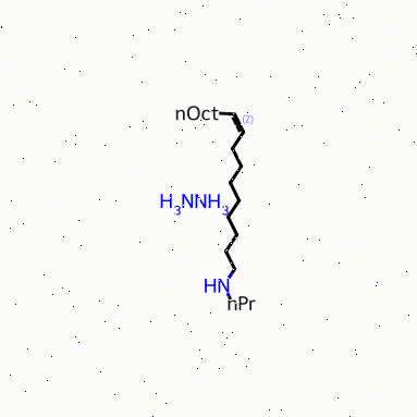 CCCCCCCC/C=C\CCCCCCCCNCCC.N.N